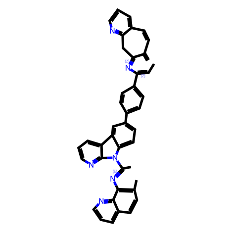 C=C1C=Cc2cccnc2C/C1=N/C(=C\C)c1ccc(-c2ccc3c(c2)c2cccnc2n3/C(C)=N/c2c(C)ccc3cccnc23)cc1